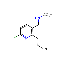 N#CC=Cc1nc(Cl)ccc1CNC(=O)O